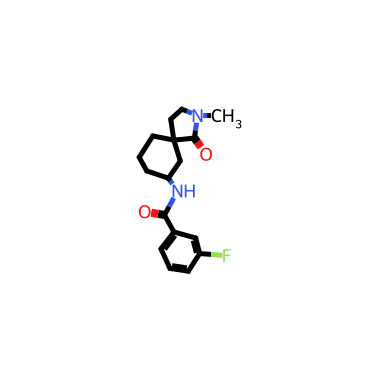 CN1CCC2(CCCC(NC(=O)c3cccc(F)c3)C2)C1=O